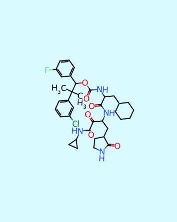 CC(C)(c1cccc(Cl)c1)C(OC(=O)NC(CC1CCCCC1)C(=O)NC(CC1CCNC1=O)C(=O)C(=O)NC1CC1)c1cccc(F)c1